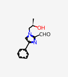 C[C@@H](O)Cn1cc(-c2ccccc2)nc1C=O